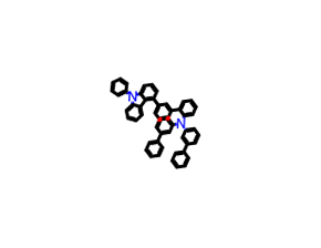 c1ccc(-c2cccc(N(c3cccc(-c4ccccc4)c3)c3ccccc3-c3cccc(-c4cccc5c4c4ccccc4n5-c4ccccc4)c3)c2)cc1